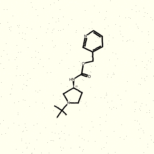 CC(C)(C)N1CC[C@H](NC(=O)OCc2cccnc2)C1